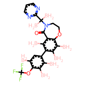 Bc1cc(-c2c(B)c(B)c3c(c2B)C(=O)N(C(B)(B)c2ncccn2)CCO3)c(B)c(B)c1OC(F)(F)F